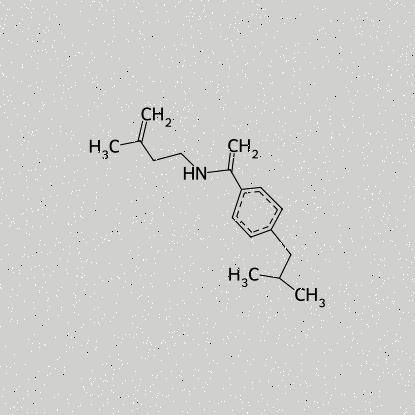 C=C(C)CCNC(=C)c1ccc(CC(C)C)cc1